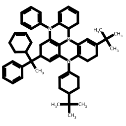 CC(C)(C)C1=CC2=C(CC1)N(C1=CCC(C(C)(C)C)CC1)C1=CC(C(C)(c3ccccc3)C3CC=CCC3)CC3=C1B2C1CC=CC=C1N3c1ccccc1